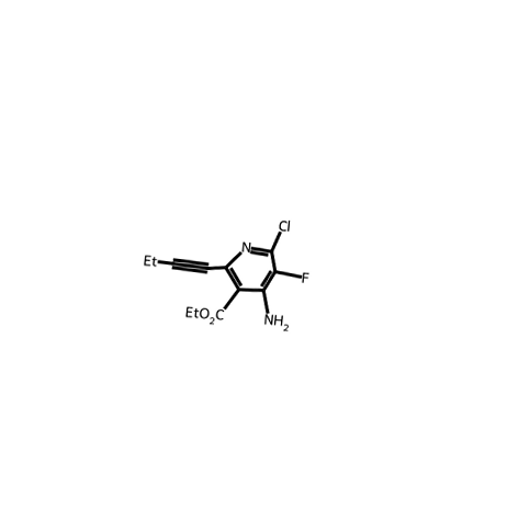 CCC#Cc1nc(Cl)c(F)c(N)c1C(=O)OCC